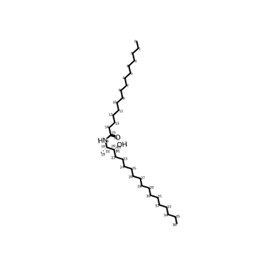 CCCCCCCCCCCCCCCC(=O)N[C@@H](C)[C@H](O)CCCCCCCCCCCCCCC